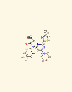 CC(C)(C)OC(=O)N(c1cc(N2CCOCC2)nc(-c2nc(C(F)(F)F)cs2)n1)C1CCC(F)(F)CC1